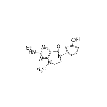 CCNc1ncc2c(n1)N(C)CCN(c1cccc(O)c1)C2=O